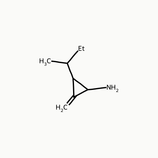 C=C1C(N)C1C(C)CC